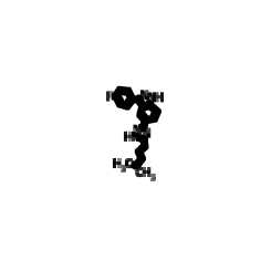 CC(C)CCCc1nc(-c2ccc3[nH]nc(-c4ccc(F)cc4)c3c2)n[nH]1